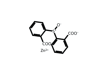 O=C([O-])c1ccccc1[S+]([O-])c1ccccc1C(=O)[O-].[Zn+2]